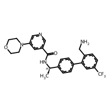 C[C@@H](NC(=O)c1cncc(N2CCOCC2)c1)c1ccc(-c2cc(C(F)(F)F)ccc2CN)cc1